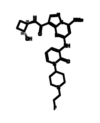 CNc1cc(Nc2cccn(C3CCN(CCF)CC3)c2=O)nc2c(C(=O)N[C@@H]3CC[C@H]3O)cnn12